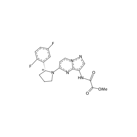 COC(=O)C(=O)Nc1cnn2ccc(N3CCC[C@@H]3c3cc(F)ccc3F)nc12